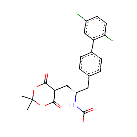 CC1(C)OC(=O)C(C[C@@H](Cc2ccc(-c3cc(Cl)ccc3F)cc2)NC(=O)O)C(=O)O1